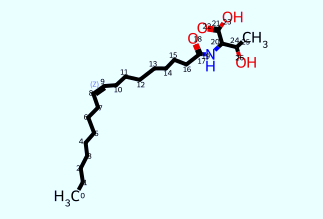 CCCCCCCC/C=C\CCCCCCCC(=O)NC(C(=O)O)C(C)O